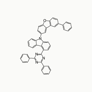 c1ccc(-c2ccc3oc4ccc(-n5c6ccccc6c6c(-c7nc(-c8ccccc8)nc(-c8ccccc8)n7)cccc65)cc4c3c2)cc1